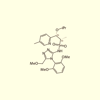 COCc1nnc(NS(=O)(=O)[C@@H](C)[C@@H](OC(C)C)c2ccc(C)cn2)n1-c1c(OC)cccc1OC